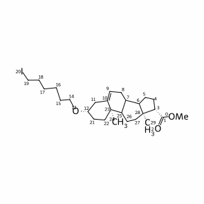 COC(=O)[C@H]1CCC2C3CC=C4C[C@@H](OCCCCCCI)CC[C@]4(C)C3CC[C@@]21C